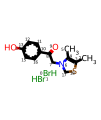 Br.Br.CC1=C(C)N(CC(=O)c2ccc(O)cc2)CS1